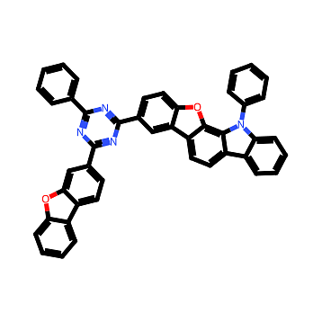 c1ccc(-c2nc(-c3ccc4c(c3)oc3ccccc34)nc(-c3ccc4oc5c(ccc6c7ccccc7n(-c7ccccc7)c65)c4c3)n2)cc1